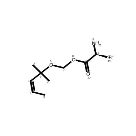 C/C=C\C(C)(C)OCOC(=O)[C@@H](N)C(C)C